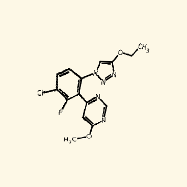 CCOc1cn(-c2ccc(Cl)c(F)c2-c2cc(OC)ncn2)nn1